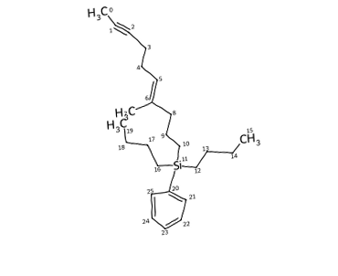 CC#CCC/C=C(\C)CCC[Si](CCCC)(CCCC)c1ccccc1